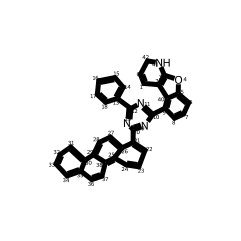 C1=Cc2c(oc3cccc(-c4nc(-c5ccccc5)nc(-c5cccc6c5ccc5c7ccccc7ccc65)n4)c23)NC1